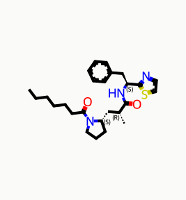 CCCCCCC(=O)N1CCC[C@H]1C[C@@H](C)C(=O)N[C@@H](Cc1ccccc1)c1nccs1